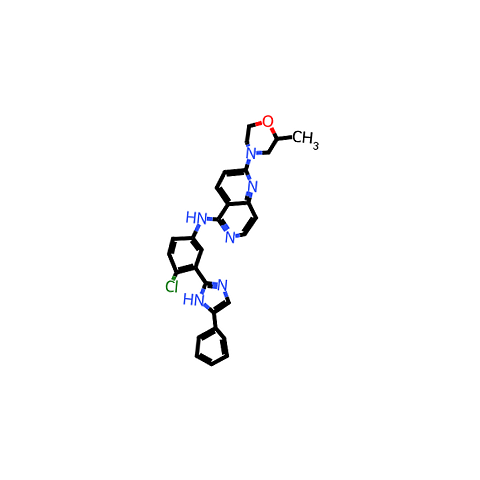 CC1CN(c2ccc3c(Nc4ccc(Cl)c(-c5ncc(-c6ccccc6)[nH]5)c4)nccc3n2)CCO1